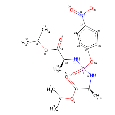 CC(C)OC(=O)[C@H](C)NP(=O)(N[C@@H](C)C(=O)OC(C)C)Oc1ccc([N+](=O)[O-])cc1